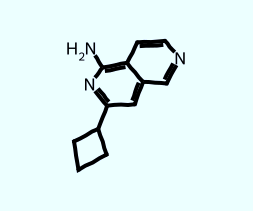 Nc1nc(C2CCC2)cc2cnccc12